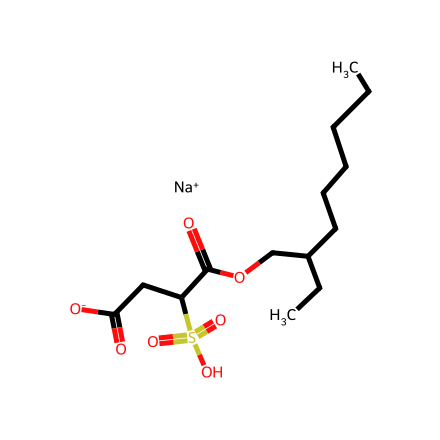 CCCCCCC(CC)COC(=O)C(CC(=O)[O-])S(=O)(=O)O.[Na+]